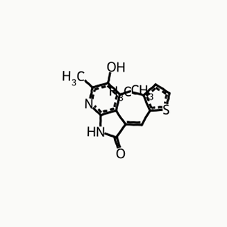 Cc1ccsc1C=C1C(=O)Nc2nc(C)c(O)c(C)c21